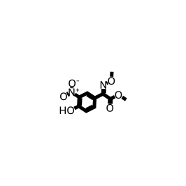 CON=C(C(=O)OC)c1ccc(O)c([N+](=O)[O-])c1